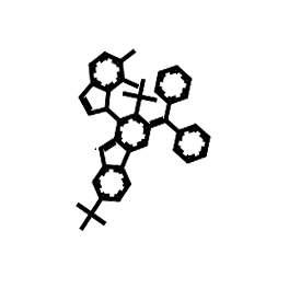 Cc1ccc2c(c1C)C(c1c(C(C)(C)C)c(=C(c3ccccc3)c3ccccc3)cc3c1=[C]c1cc(C(C)(C)C)ccc1-3)C=C2